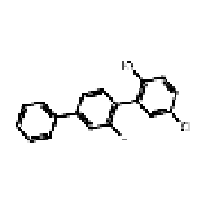 Oc1ccc(Cl)cc1-c1ccc(-c2ccccc2)cc1F